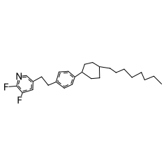 CCCCCCCCC1CCC(c2ccc(CCc3cnc(F)c(F)c3)cc2)CC1